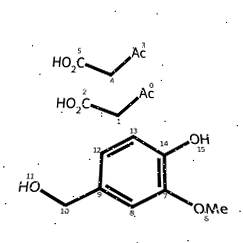 CC(=O)CC(=O)O.CC(=O)CC(=O)O.COc1cc(CO)ccc1O